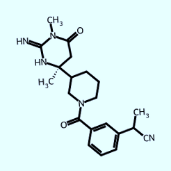 CC(C#N)c1cccc(C(=O)N2CCCC([C@]3(C)CC(=O)N(C)C(=N)N3)C2)c1